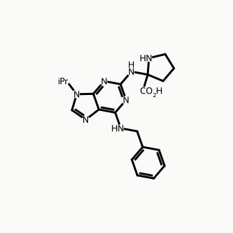 CC(C)n1cnc2c(NCc3ccccc3)nc(NC3(C(=O)O)CCCN3)nc21